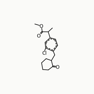 COC(=O)C(C)c1ccc(CC2CCCCC2=O)c(Cl)c1